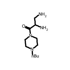 CCCCN1CCN(C(=O)C(N)CN)CC1